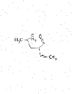 C=CC(C=O)CC(C)C